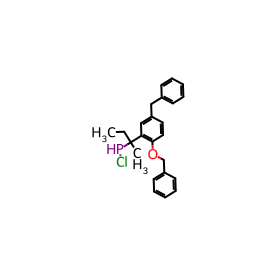 CCC(C)(PCl)c1cc(Cc2ccccc2)ccc1OCc1ccccc1